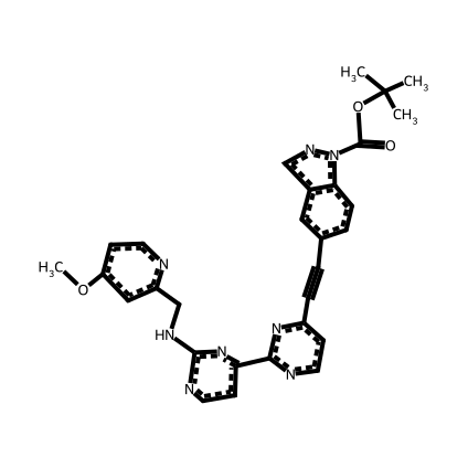 COc1ccnc(CNc2nccc(-c3nccc(C#Cc4ccc5c(cnn5C(=O)OC(C)(C)C)c4)n3)n2)c1